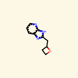 c1cnc2[nH]c(CC3CCO3)nc2c1